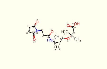 CC(C)(CCOC(C)(C)CC(=O)O)NC(=O)CCN1C(=O)C=CC1=O